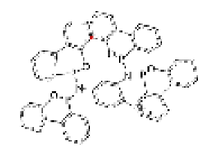 Cc1ccc(N(P2Oc3ccccc3-c3ccccc32)P2Oc3ccccc3-c3ccccc32)cc1N(P1Oc2ccccc2-c2ccccc21)P1Oc2ccccc2-c2ccccc21